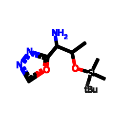 CC(O[Si](C)(C)C(C)(C)C)C(N)c1nnco1